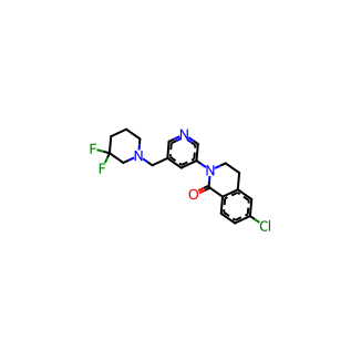 O=C1c2ccc(Cl)cc2CCN1c1cncc(CN2CCCC(F)(F)C2)c1